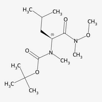 CON(C)C(=O)[C@H](CC(C)C)N(C)C(=O)OC(C)(C)C